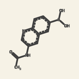 CC(=O)Nc1cnc2ccc(B(O)O)cc2c1